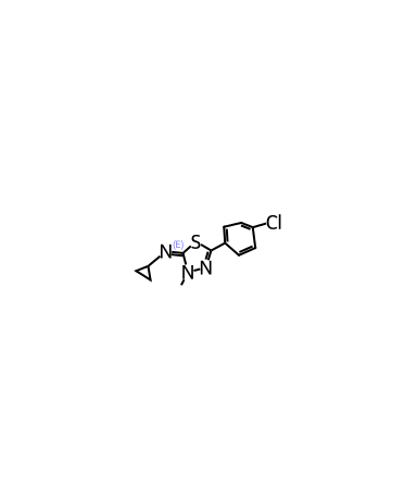 Cn1nc(-c2ccc(Cl)cc2)s/c1=N/C1CC1